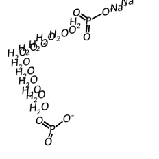 O.O.O.O.O.O.O.O.O.O.O.O.O=P(=O)[O-].O=P(=O)[O-].[Na+].[Na+]